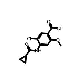 COc1cc(NC(=O)C2CC2)c(Cl)cc1C(=O)O